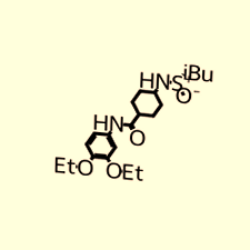 CCOc1ccc(NC(=O)C2CCC(N[S+]([O-])C(C)CC)CC2)cc1OCC